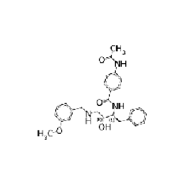 COc1cccc(CNC[C@@H](O)[C@H](Cc2ccccc2)NC(=O)c2ccc(NC(C)=O)cc2)c1